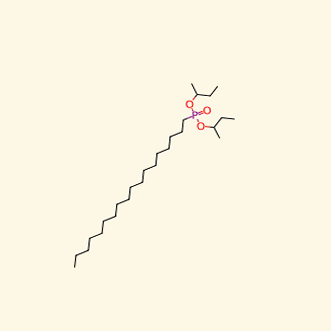 CCCCCCCCCCCCCCCCCCP(=O)(OC(C)CC)OC(C)CC